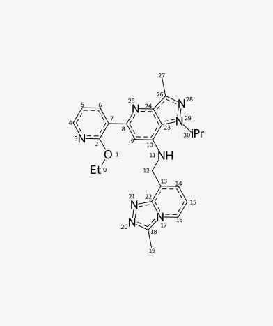 CCOc1ncccc1-c1cc(NCc2cccn3c(C)nnc23)c2c(n1)c(C)nn2C(C)C